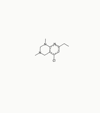 CCc1cc(Cl)c2c(n1)N(C)CN(C)C2